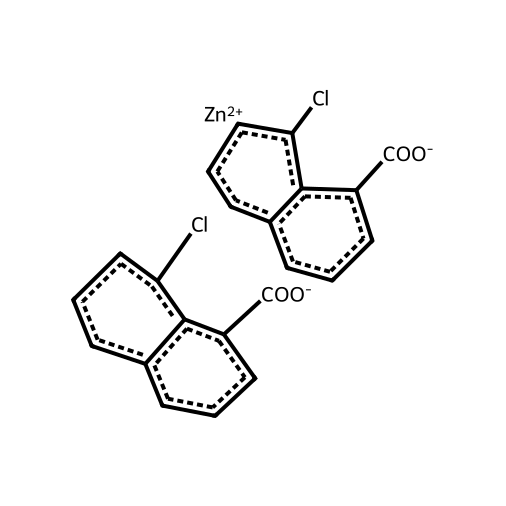 O=C([O-])c1cccc2cccc(Cl)c12.O=C([O-])c1cccc2cccc(Cl)c12.[Zn+2]